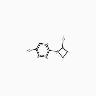 CCC1CCN1c1ccc(C#N)cc1